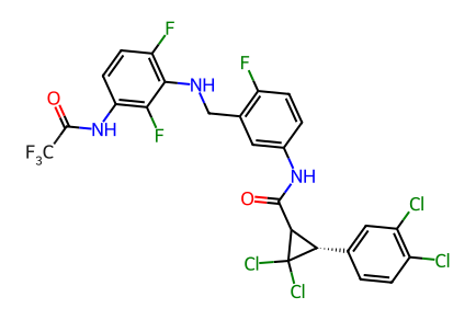 O=C(Nc1ccc(F)c(CNc2c(F)ccc(NC(=O)C(F)(F)F)c2F)c1)C1[C@H](c2ccc(Cl)c(Cl)c2)C1(Cl)Cl